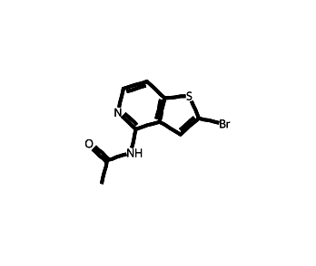 CC(=O)Nc1nccc2sc(Br)cc12